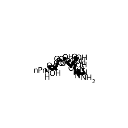 CCCNC(=O)C(O)C(C)(C)COP(=O)(O)OP(=O)(O)OCC1OC(n2cnc3c(N)ncnc32)[C@@H](O)C1OP(=O)(O)O